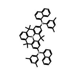 Cc1cc(C)cc(N(c2cc3c4c(c2)C(C)(C)c2cc(N(c5cc(C)cc(C)c5)c5cccc6ccccc56)cc5c2N4c2c(cccc2C5(C)C)C3(C)C)c2cccc3ccccc23)c1